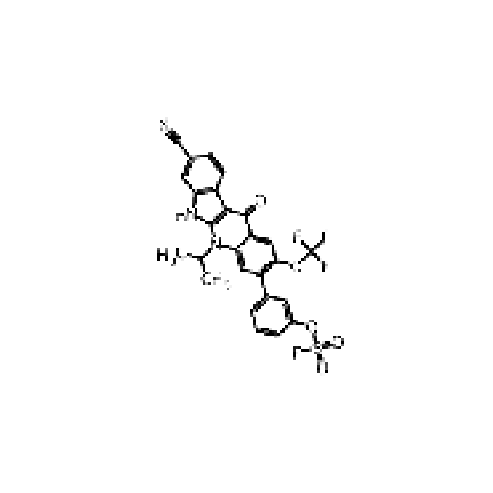 CC(C)n1c2cc(-c3cccc(OS(=O)(=O)F)c3)c(OC(F)(F)F)cc2c(=O)c2c3ccc(C#N)cc3[nH]c21